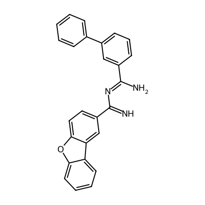 N=C(/N=C(\N)c1cccc(-c2ccccc2)c1)c1ccc2oc3ccccc3c2c1